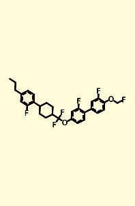 CCCc1ccc(C2CCC(C(F)(F)Oc3ccc(-c4ccc(OCF)c(F)c4)c(F)c3)CC2)c(F)c1